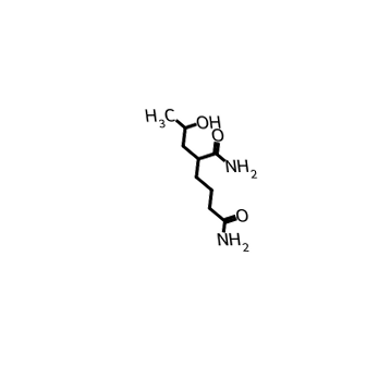 CC(O)CC(CCCC(N)=O)C(N)=O